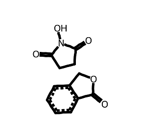 O=C1CCC(=O)N1O.O=C1OCc2ccccc21